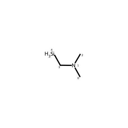 CN(C)C[SiH3]